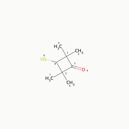 CC1(C)C(=O)C(C)(C)C1S